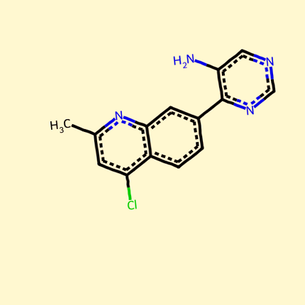 Cc1cc(Cl)c2ccc(-c3ncncc3N)cc2n1